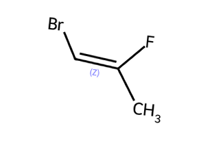 C/C(F)=C/Br